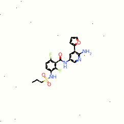 CCCS(=O)(=O)Nc1ccc(F)c(C(=O)Nc2cnc(N)c(-c3ccco3)c2)c1F